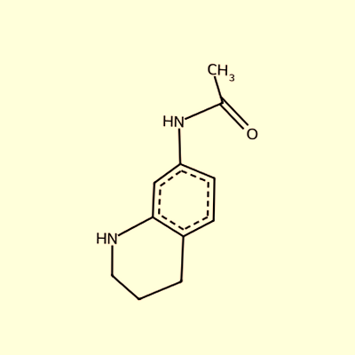 CC(=O)Nc1ccc2c(c1)NCCC2